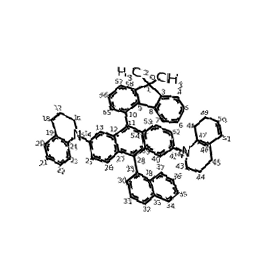 CC1(C)c2ccccc2-c2c(-c3c4cc(N5CCCc6ccccc65)ccc4c(-c4cccc5ccccc45)c4cc(N5CCCC6=C5CCC=C6)ccc34)cccc21